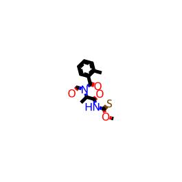 COC(=S)NC(=O)C(C)N(C=O)C(=O)c1ccccc1C